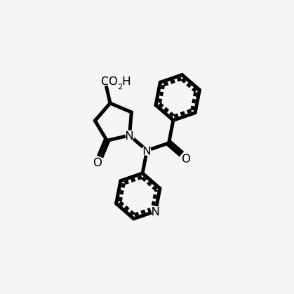 O=C(O)C1CC(=O)N(N(C(=O)c2ccccc2)c2cccnc2)C1